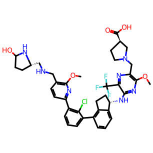 COc1nc(-c2cccc(-c3cccc4c3CC[C@@H]4Nc3nc(OC)c(CN4CC[C@@H](C(=O)O)C4)nc3C(F)(F)F)c2Cl)ccc1CNC[C@@H]1CCC(O)N1